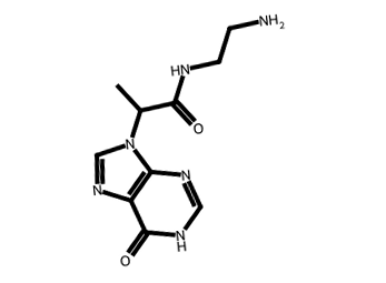 CC(C(=O)NCCN)n1cnc2c(=O)[nH]cnc21